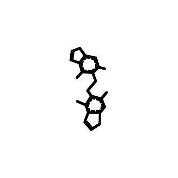 Cc1cc2c(c(C)c1CCc1c(C)cc3c(c1C)C=CC3)C=CC2